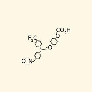 Cc1cc(OC/C=C(/c2ccc(CN3CCOCC3)cc2)c2ccc(C(F)(F)F)cc2)ccc1OCC(=O)O